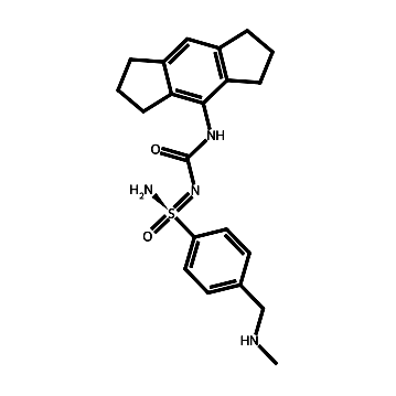 CNCc1ccc([S@](N)(=O)=NC(=O)Nc2c3c(cc4c2CCC4)CCC3)cc1